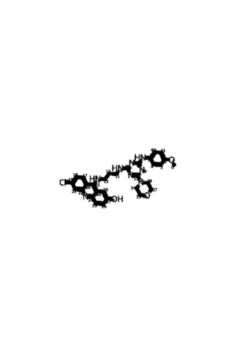 COc1ccc(Nc2nc(NCCCNc3c4ccc(Cl)cc4nc4ccc(O)cc34)nc(N3CCOCC3)n2)cc1